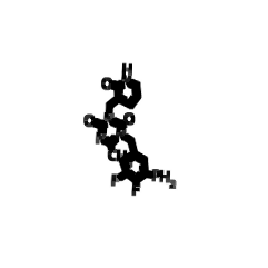 Cc1nc(=O)n(Cc2ccc[nH]c2=O)c(=O)n1Cc1cc(F)c(F)c(P)c1